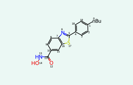 CCCCc1ccc(-c2nc3ccc(C(=O)NO)cc3s2)cc1